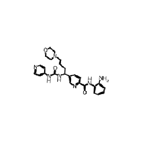 Nc1ccccc1NC(=O)c1ccc(C(CCCN2CCOCC2)NC(=O)Nc2ccncc2)cn1